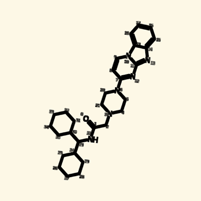 O=C(CN1CCN(c2ccn3c(n2)nc2ccccc23)CC1)NC(C1CCCCC1)C1CCCCC1